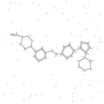 CCOC(=O)C1CCC(c2cccc(COc3ccc(-c4ccnn4C4CCCCO4)nc3)c2)CC1